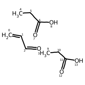 C=CC=O.CCC(=O)O.CCC(=O)O